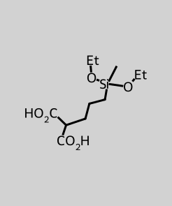 CCO[Si](C)(CCCC(C(=O)O)C(=O)O)OCC